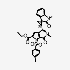 CCOC(=O)c1cc2c([C@@H]3C[C@@]34C(=O)N(C)c3ccccc34)cn(C)c(=O)c2n1S(=O)(=O)c1ccc(C)cc1